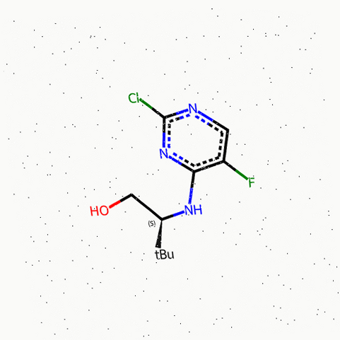 CC(C)(C)[C@@H](CO)Nc1nc(Cl)ncc1F